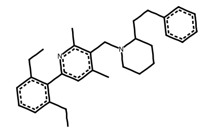 CCc1cccc(CC)c1-c1cc(C)c(CN2CCCCC2CCc2ccccc2)c(C)n1